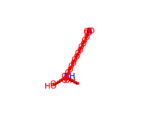 CCCCCCCCCCC[C@@](CCCCCCCCCCC(=O)O)(C(=O)O)C(=O)NCCOCCOCCOCCOCCOCCOCCOCCOCCOCCOCCOCCOCCC(=O)ON1C(=O)CCC1=O